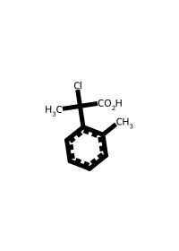 Cc1ccccc1C(C)(Cl)C(=O)O